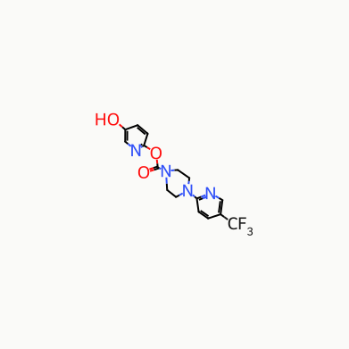 O=C(Oc1ccc(O)cn1)N1CCN(c2ccc(C(F)(F)F)cn2)CC1